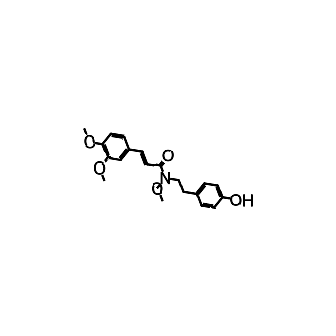 COc1ccc(C=CC(=O)N(CCc2ccc(O)cc2)OC)cc1OC